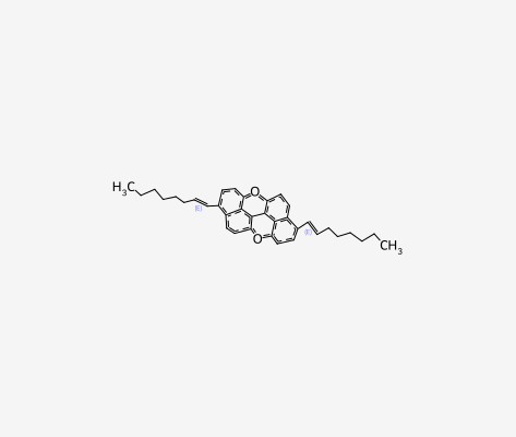 CCCCCC/C=C/c1ccc2oc3ccc4c(/C=C/CCCCCC)ccc5oc6ccc1c2c6-c3c54